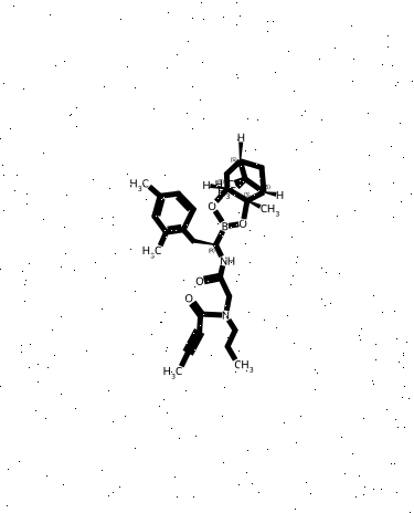 CC#CC(=O)N(CCC)CC(=O)N[C@@H](Cc1ccc(C)cc1C)B1O[C@@H]2C[C@@H]3C[C@@H](C3(C)C)[C@]2(C)O1